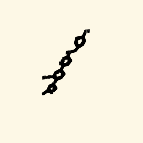 COc1cc(-c2ccc(NCc3ccc(C#N)cc3)nn2)ccc1-n1cnc(C)c1